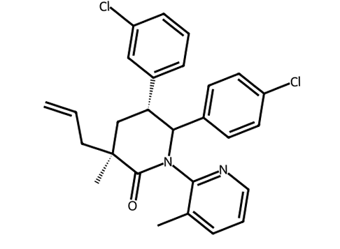 C=CC[C@@]1(C)C[C@H](c2cccc(Cl)c2)C(c2ccc(Cl)cc2)N(c2ncccc2C)C1=O